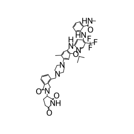 CNC(=O)c1ccccc1Nc1cc(Nc2cc(C)c(N3CCN(Cc4cccc5c4CN(C4CCC(=O)NC4=O)C5=O)CC3)cc2OC(C)C)ncc1C(F)(F)F